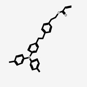 C=CC(=O)OCCc1ccc(CCc2ccc(N(c3ccc(C)cc3)c3ccc(C)cc3)cc2)cc1